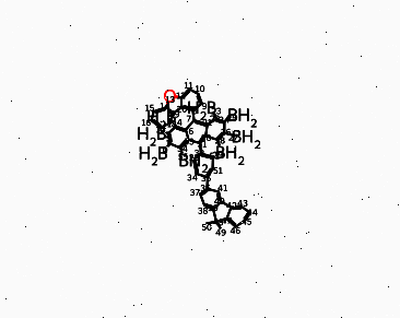 Bc1c(B)c(B)c2c(-c3cccc4oc5ccccc5c34)c3c(B)c(B)c(B)c(B)c3c(-c3ccc(-c4ccc5c(c4)-c4ccccc4C5(C)C)cc3)c2c1B